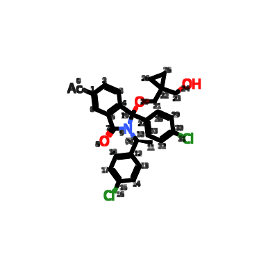 CC(=O)c1ccc2c(c1)C(=O)N([C@@H](C)c1ccc(Cl)cc1)C2(OCC1(CO)CC1)c1ccc(Cl)cc1